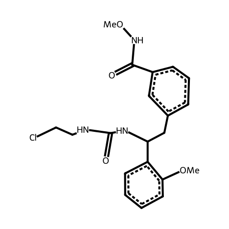 CONC(=O)c1cccc(CC(NC(=O)NCCCl)c2ccccc2OC)c1